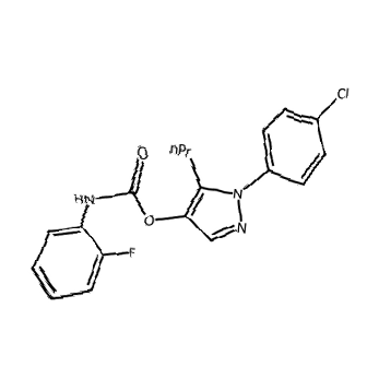 CCCc1c(OC(=O)Nc2ccccc2F)cnn1-c1ccc(Cl)cc1